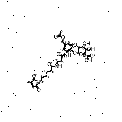 CC(=O)OCc1ccc(O[C@@H]2O[C@H](C(=O)O)[C@H](O)[C@H](O)[C@@H]2O)c(NC(=O)CCNC(=O)CCCCCN2C(=O)C=CC2=O)c1